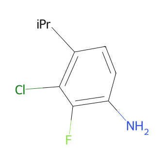 CC(C)c1ccc(N)c(F)c1Cl